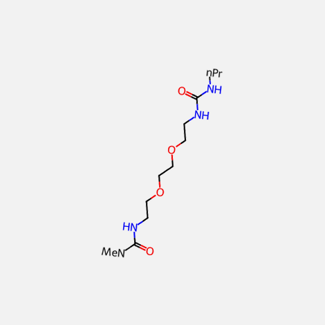 CCCNC(=O)NCCOCCOCCNC(=O)NC